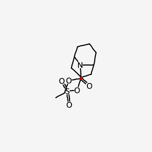 COC(=O)N1C2CCCC1CC(OS(C)(=O)=O)C2